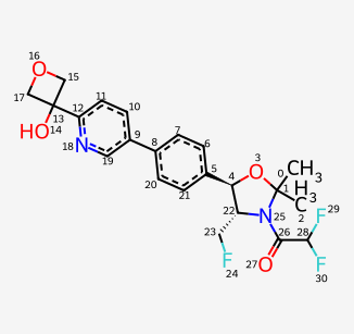 CC1(C)O[C@H](c2ccc(-c3ccc(C4(O)COC4)nc3)cc2)[C@@H](CF)N1C(=O)C(F)F